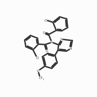 O=C(c1ccccc1Cl)N(C(=O)c1ccccc1Cl)c1ncncc1-c1ccc(OC(F)(F)F)cc1